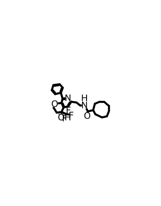 O=C(NCCc1cc2c(c(-c3ccccc3)n1)OCC[C@@]2(O)C(F)(F)F)C1CCCCCCCC1